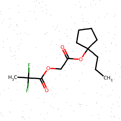 CCCC1(OC(=O)COC(=O)C(C)(F)F)CCCC1